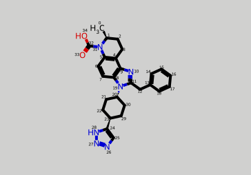 C[C@H]1CCc2c(ccc3c2nc(Cc2ccccc2)n3[C@H]2CC[C@H](c3cnn[nH]3)CC2)N1C(=O)O